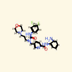 Nc1ccccc1NC(=O)c1ccc(CN(CCCN2CCOCC2)C(=O)Nc2ccc(F)c(F)c2)cn1